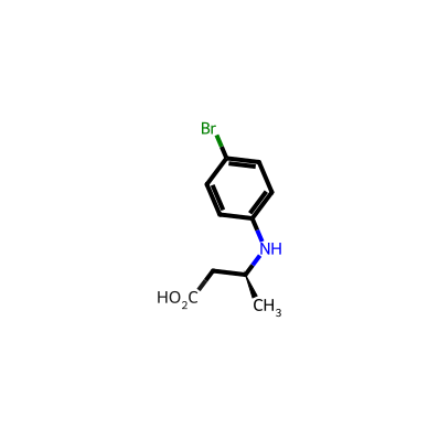 C[C@@H](CC(=O)O)Nc1ccc(Br)cc1